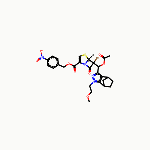 COCCn1nc(C(OC(C)=O)C2(Br)C(=O)N3C(C(=O)OCc4ccc([N+](=O)[O-])cc4)=CS[C@@H]32)c2c1C1CCC2C1